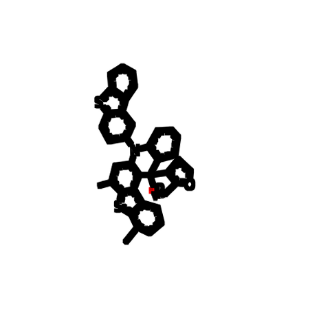 Cc1cccc2c1sc1c(C)cc3c(c12)C1(c2ccccc2N3c2ccc3sc4ccccc4c3c2)c2ccoc2-c2occc21